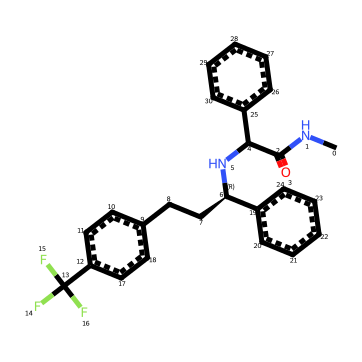 CNC(=O)C(N[C@H](CCc1ccc(C(F)(F)F)cc1)c1ccccc1)c1ccccc1